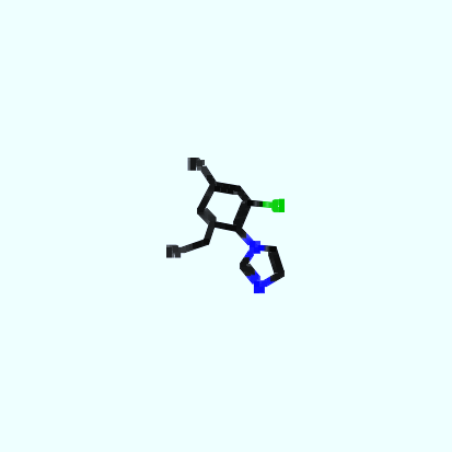 CC(C)Cc1cc(C(C)C)cc(Cl)c1-n1ccnc1